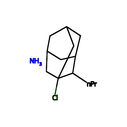 CCCC1C2CC3CC(C2)CC1(Cl)C3.N